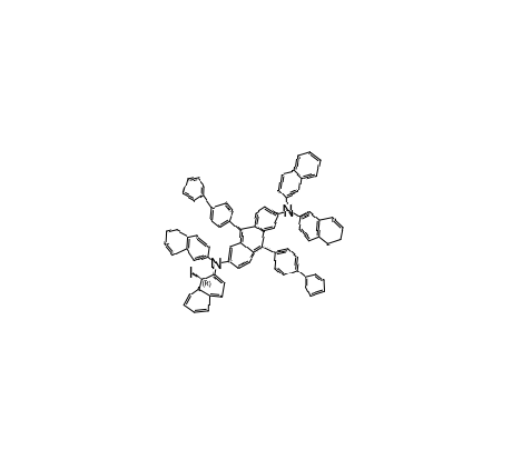 I[C@H]1C(N(c2ccc3c(c2)C=CCC3)c2ccc3c(-c4ccc(-c5ccccc5)cc4)c4cc(N(c5ccc6c(c5)C=CCC6)c5ccc6ccccc6c5)ccc4c(-c4ccc(-c5ccccc5)cc4)c3c2)=CC=C2C=CC=CC21